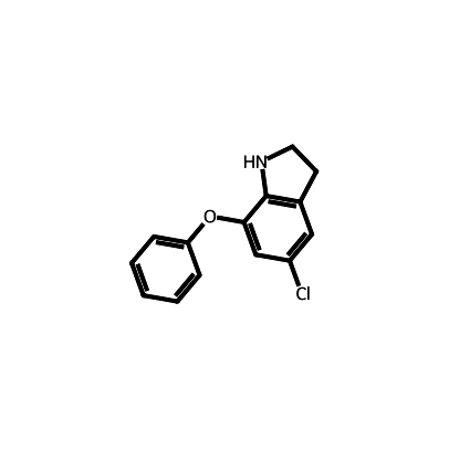 Clc1cc2c(c(Oc3ccccc3)c1)NCC2